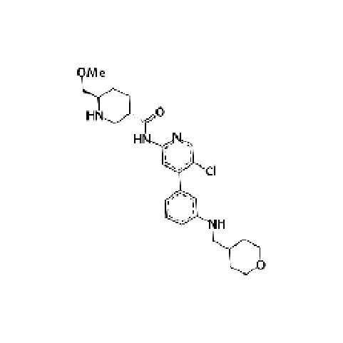 COC[C@H]1CC[C@H](C(=O)Nc2cc(-c3cccc(NCC4CCOCC4)c3)c(Cl)cn2)CN1